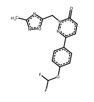 Cc1noc(Cn2nc(-c3ccc(OC(F)F)cc3)ccc2=O)n1